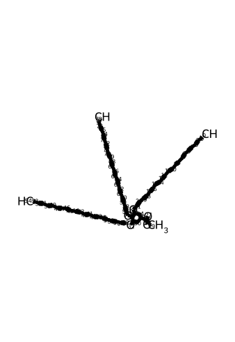 C#CC#CC#CC#CC#CC#CC#CC#CC#CC#CC#COc1cc(C(=O)OC)cc(OC#CC#CC#CC#CC#CC#CC#CC#CC#CC#CC#C)c1OC#CC#CC#CC#CC#CC#CC#CC#CC#CC#CC#C